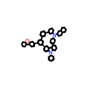 c1ccc(N(c2cccc(-c3cccc(-c4cc(-c5ccc6c(c5)oc5ccccc56)cc(-c5ccc6c(c5)c5ccccc5n6-c5ccccc5)c4)c3)c2)c2ccc3ccccc3c2)cc1